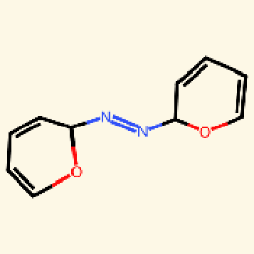 C1=COC(N=NC2C=CC=CO2)C=C1